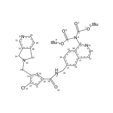 CC(C)(C)OC(=O)N(C(=O)OC(C)(C)C)c1nccc2cc(CNC(=O)c3cc(Cl)c(CN4Cc5ccncc5C4)s3)ccc12